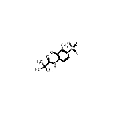 Cc1c(S(=O)(=O)Cl)ccc(NC(=O)C(C)(O)C(F)(F)F)c1Cl